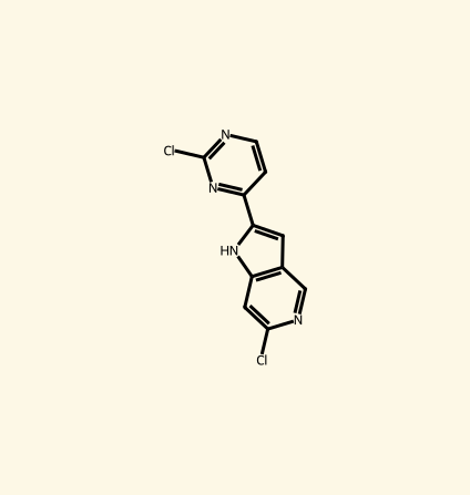 Clc1cc2[nH]c(-c3ccnc(Cl)n3)cc2cn1